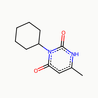 Cc1cc(=O)n(C2CCCCC2)c(=O)[nH]1